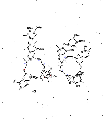 CC[C@H](C)[C@H]1O[C@]2(C=C[C@@H]1C)C[C@@H]1C[C@@H](C/C=C(\C)[C@@H](O[C@H]3C[C@H](OC)[C@@H](O[C@H]4C[C@H](OC)[C@@H](NC)[C@H](C)O4)[C@H](C)O3)[C@@H](C)/C=C/C=C3\CO[C@@H]4[C@H](O)C(C)=C[C@@H](C(=O)O1)[C@]34O)O2.CN[C@H]1[C@H](C)O[C@@H](O[C@H]2[C@H](C)O[C@@H](O[C@@H]3/C(C)=C/C[C@@H]4C[C@@H](C[C@]5(C=C[C@H](C)[C@@H](C(C)C)O5)O4)OC(=O)[C@@H]4C=C(C)[C@@H](O)[C@H]5OC/C(=C\C=C\[C@@H]3C)[C@]54O)C[C@@H]2OC)C[C@@H]1OC.Cl